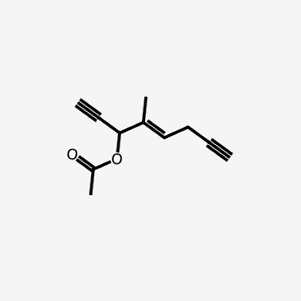 C#CC/C=C(\C)C(C#C)OC(C)=O